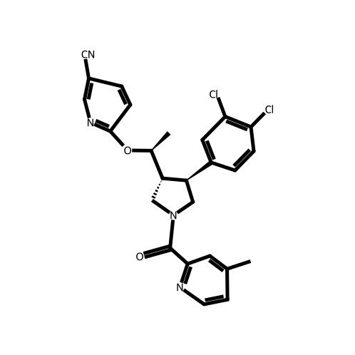 Cc1ccnc(C(=O)N2C[C@H]([C@H](C)Oc3ccc(C#N)cn3)[C@@H](c3ccc(Cl)c(Cl)c3)C2)c1